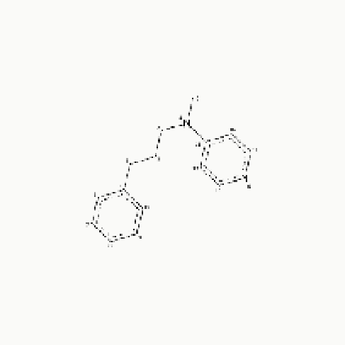 CN(C[CH]Cc1ccccc1)c1ccncc1